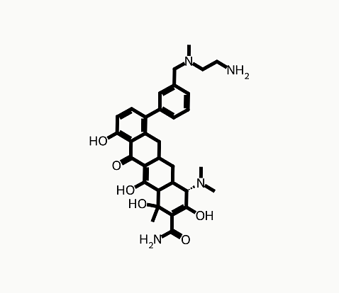 CN(CCN)Cc1cccc(-c2ccc(O)c3c2CC2CC4C(C(O)=C2C3=O)C(C)(O)C(C(N)=O)=C(O)[C@H]4N(C)C)c1